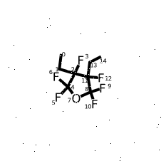 CCC1(F)C(F)(F)OC(F)(F)C1(F)CC